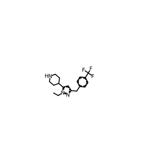 CCn1nc(Cc2ccc(C(F)(F)F)cc2)cc1C1CCNCC1